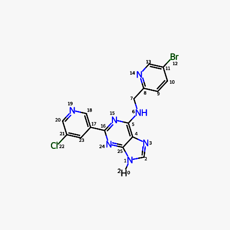 [2H]n1cnc2c(NCc3ccc(Br)cn3)nc(-c3cncc(Cl)c3)nc21